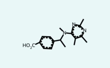 Cc1nc(C)c(C)c(N(C)C(C)c2ccc(C(=O)O)cc2)n1